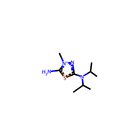 CC(C)N(c1n[n+](C)c(N)s1)C(C)C